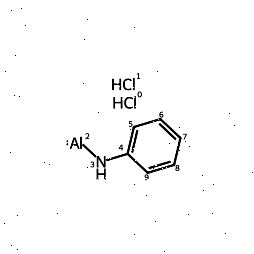 Cl.Cl.[Al][NH]c1ccccc1